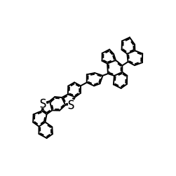 c1ccc2c(-c3c4ccccc4c(-c4ccc(-c5ccc6c(c5)sc5cc7c(cc56)sc5ccc6ccccc6c57)cc4)c4ccccc34)cccc2c1